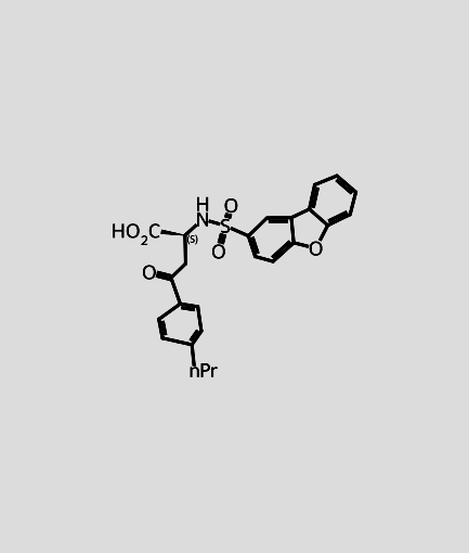 CCCc1ccc(C(=O)C[C@H](NS(=O)(=O)c2ccc3oc4ccccc4c3c2)C(=O)O)cc1